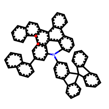 c1ccc2c(c1)-c1ccccc1C21c2ccccc2-c2ccc(N(c3cc(-c4cccc5ccccc45)cc(-c4cccc5ccccc45)c3)c3cccc4c5ccccc5c5ccccc5c34)cc21